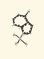 CC(C)[Si](C(C)C)(C(C)C)n1ccc2c(Br)ccnc21